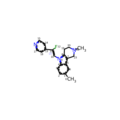 Cc1ccc2c(c1)c1c(n2/C=C(\F)c2ccncc2)CCN(C)C1